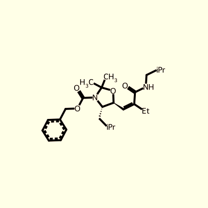 CC/C(=C/[C@@H]1OC(C)(C)N(C(=O)OCc2ccccc2)[C@H]1CC(C)C)C(=O)NCC(C)C